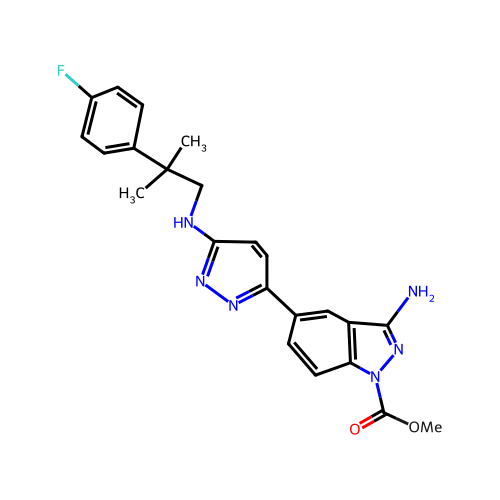 COC(=O)n1nc(N)c2cc(-c3ccc(NCC(C)(C)c4ccc(F)cc4)nn3)ccc21